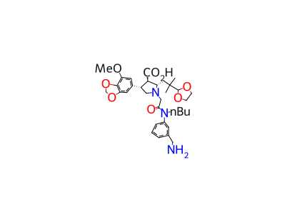 CCCCN(C(=O)CN1C[C@H](c2cc(OC)c3c(c2)OCO3)[C@@H](C(=O)O)[C@@H]1CC(C)(C)C1OCCO1)c1cccc(CN)c1